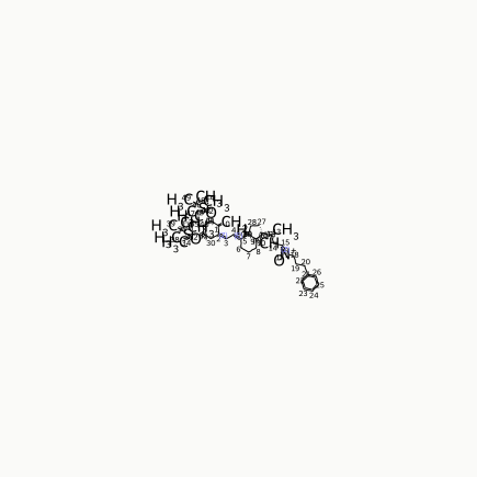 C=C1/C(=C\C=C2/CCC[C@]3(C)[C@@H]([C@H](C)C/C=[N+](\[O-])CCCc4ccccc4)CC[C@@H]23)C[C@@H](O[Si](C)(C)C(C)(C)C)C[C@@H]1O[Si](C)(C)C(C)(C)C